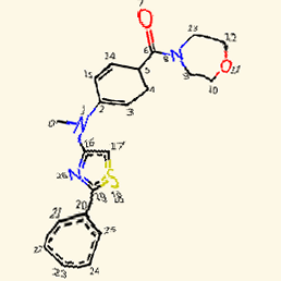 CN(C1=CCC(C(=O)N2CCOCC2)C=C1)c1csc(-c2ccccc2)n1